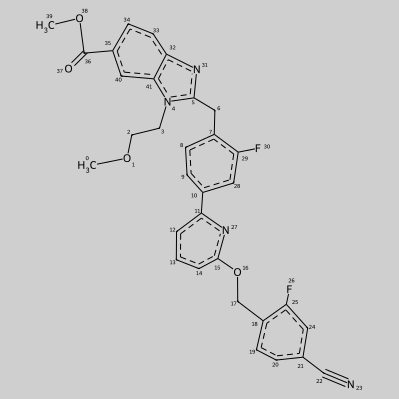 COCCn1c(Cc2ccc(-c3cccc(OCc4ccc(C#N)cc4F)n3)cc2F)nc2ccc(C(=O)OC)cc21